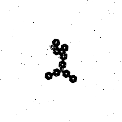 c1ccc(-c2ccc(N(c3ccc(-c4ccccc4)cc3)c3ccc(-c4ccc5c6ccccc6c6c(ccc7oc8ccccc8c76)c5c4)cc3)cc2)cc1